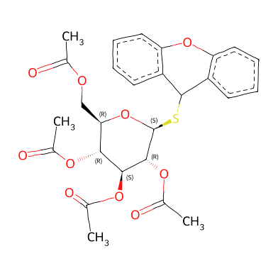 CC(=O)OC[C@H]1O[C@@H](SC2c3ccccc3Oc3ccccc32)[C@H](OC(C)=O)[C@@H](OC(C)=O)[C@@H]1OC(C)=O